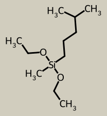 CCO[Si](C)(CCCC(C)C)OCC